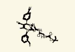 CC1=C(C#N)[C@@H](c2ccc(C#N)cc2)n2nc(NC(=O)CNC(=O)OC(C)(C)C)nc2N1c1cccc(CF)c1